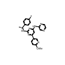 COc1ccc(-c2cc(Nc3cnccn3)nc(N[C@@H](C)c3ccc(F)cc3)n2)cn1